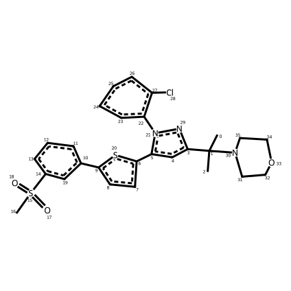 CC(C)(c1cc(-c2ccc(-c3cccc(S(C)(=O)=O)c3)s2)n(-c2ccccc2Cl)n1)N1CCOCC1